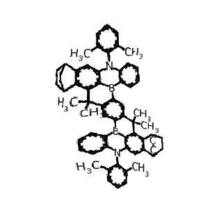 Cc1cccc(C)c1N1c2ccccc2B2c3cc4c(cc3C(C)(C)c3c2c1cc1c3C2CCC1CC2)B1c2ccccc2N(c2c(C)cccc2C)c2cc3c(c(c21)C4(C)C)C1CCC3CC1